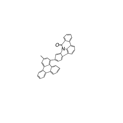 Cc1cc(-c2ccc3c4cccc5c6ccccc6c(=O)n(c3c2)c54)c2c3ccccc3c3ccccc3c2c1